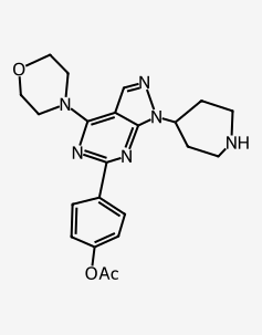 CC(=O)Oc1ccc(-c2nc(N3CCOCC3)c3cnn(C4CCNCC4)c3n2)cc1